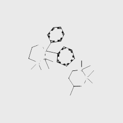 CC1CC[Si](C)(C)[Si](C)(C)O1.C[Si]1(C)CCO[Si](c2ccccc2)(c2ccccc2)[Si]1(C)C